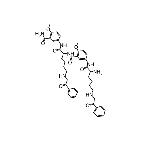 COc1ccc(NC(=O)[C@H](CCCCNCC(=O)c2ccccc2)NC(=O)c2cc(NC(=O)[C@@H](N)CCCCNCC(=O)c3ccccc3)ccc2OC)cc1C(N)=O